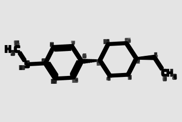 CC[C@H]1CC[C@H](c2ccc(SC)cc2)CC1